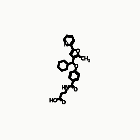 Cc1oc(-c2ccccn2)cc1C(Oc1ccc(C(=O)NCCC(=O)O)cc1)C1CCCCC1